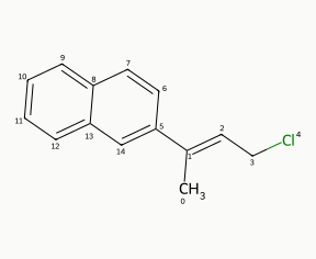 CC(=CCCl)c1ccc2ccccc2c1